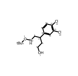 CC(C)(C)ONCC(CCO)c1ccc(Cl)c(Cl)c1